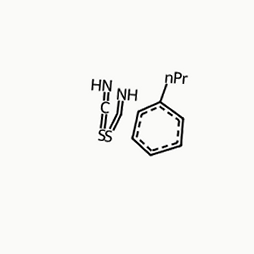 CCCc1ccccc1.N=C=S.N=C=S